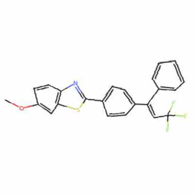 COc1ccc2nc(-c3ccc(C(=CC(F)(F)F)c4ccccc4)cc3)sc2c1